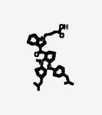 CC(C)Cc1ccc(N(C)c2cccc(C(=O)c3cn(CCCC(=O)O)c4ccccc34)c2N(C)c2ccc(CC(C)C)cc2)cc1